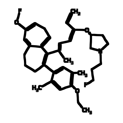 C=C/C(=C\C=C(/C)C1=C(c2cc(C)c(OCC)cc2C)CCCC2=CC(OF)=CCC=C21)O[C@H]1CCN(CCCF)C1